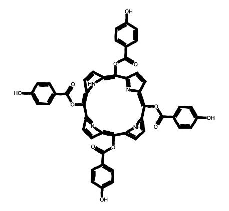 O=C(Oc1c2nc(c(OC(=O)c3ccc(O)cc3)c3ccc([nH]3)c(OC(=O)c3ccc(O)cc3)c3nc(c(OC(=O)c4ccc(O)cc4)c4ccc1[nH]4)C=C3)C=C2)c1ccc(O)cc1